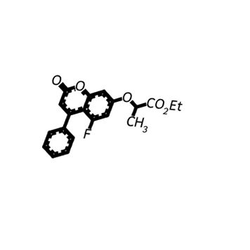 CCOC(=O)C(C)Oc1cc(F)c2c(-c3ccccc3)cc(=O)oc2c1